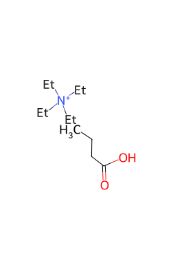 CCCC(=O)O.CC[N+](CC)(CC)CC